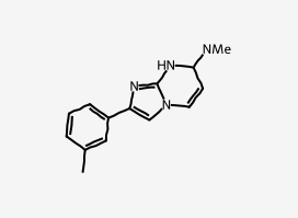 CNC1C=Cn2cc(-c3cccc(C)c3)nc2N1